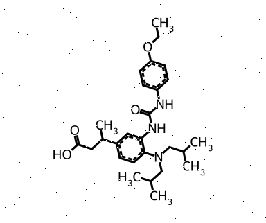 CCOc1ccc(NC(=O)Nc2cc(C(C)CC(=O)O)ccc2N(CC(C)C)CC(C)C)cc1